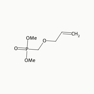 C=CCOCP(=O)(OC)OC